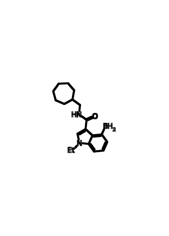 Bc1cccc2c1c(C(=O)NCC1CCCCCC1)cn2CC